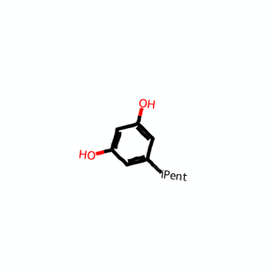 CCCC(C)c1cc(O)cc(O)c1